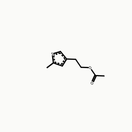 CC(=O)OCCc1csc(C)c1